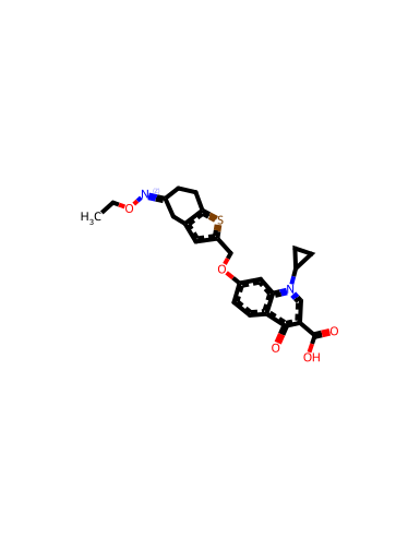 CCO/N=C1/CCc2sc(COc3ccc4c(=O)c(C(=O)O)cn(C5CC5)c4c3)cc2C1